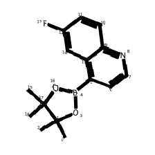 CC1(C)OB(c2ccnc3ccc(F)cc23)OC1(C)C